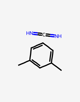 Cc1cccc(C)c1.N=C=N